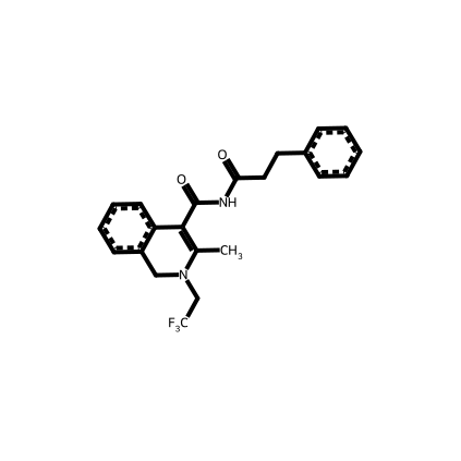 CC1=C(C(=O)NC(=O)CCc2ccccc2)c2ccccc2CN1CC(F)(F)F